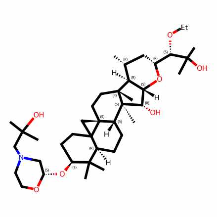 CCO[C@@H]([C@H]1C[C@@H](C)[C@H]2[C@H](O1)[C@H](O)[C@@]1(C)[C@@H]3CC[C@H]4C(C)(C)[C@@H](O[C@H]5CN(CC(C)(C)O)CCO5)CCC45C[C@@]35CC[C@]21C)C(C)(C)O